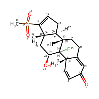 C[C@]12C=CC(=O)C=C1CC[C@H]1[C@@H]3CC=C(S(C)(=O)=O)[C@@]3(C)C[C@H](O)[C@@]12F